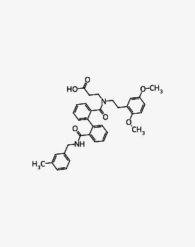 COc1ccc(OC)c(CCN(CCC(=O)O)C(=O)c2ccccc2-c2ccccc2C(=O)NCc2cccc(C)c2)c1